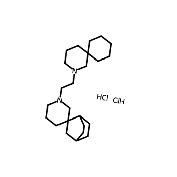 C1CCC2(CC1)CCCN(CCN1CCCC3(CC4CCC3CC4)C1)C2.Cl.Cl